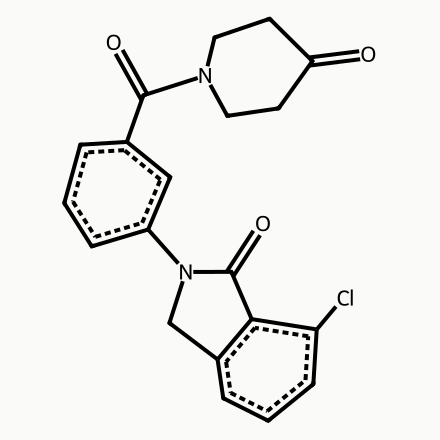 O=C1CCN(C(=O)c2cccc(N3Cc4cccc(Cl)c4C3=O)c2)CC1